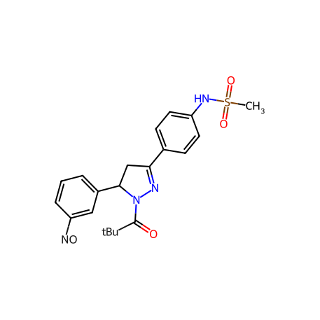 CC(C)(C)C(=O)N1N=C(c2ccc(NS(C)(=O)=O)cc2)CC1c1cccc(N=O)c1